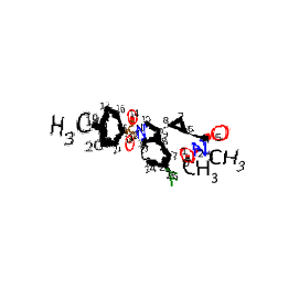 CON(C)C(=O)[C@@H]1C[C@H]1c1cn(S(=O)(=O)c2ccc(C)cc2)c2ccc(F)cc12